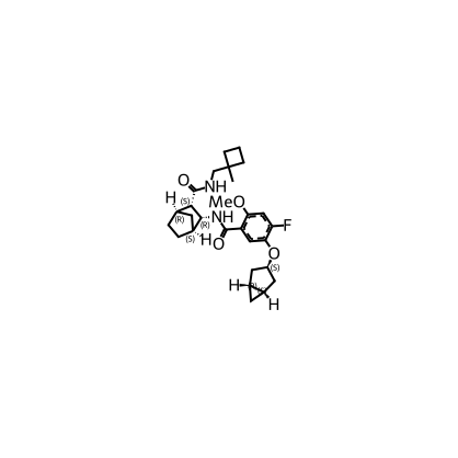 COc1cc(F)c(O[C@H]2C[C@@H]3C[C@@H]3C2)cc1C(=O)N[C@@H]1[C@H]2CC[C@H](C2)[C@@H]1C(=O)NCC1(C)CCC1